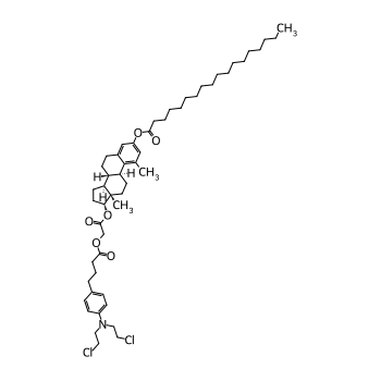 CCCCCCCCCCCCCCCCCC(=O)Oc1cc(C)c2c(c1)CC[C@@H]1[C@@H]2CC[C@]2(C)[C@@H](OC(=O)COC(=O)CCCc3ccc(N(CCCl)CCCl)cc3)CC[C@@H]12